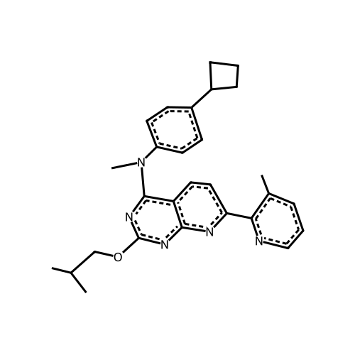 Cc1cccnc1-c1ccc2c(N(C)c3ccc(C4CCC4)cc3)nc(OCC(C)C)nc2n1